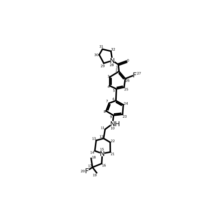 C=C(c1ccc(-c2ccc(NCC3CCN(CC(C)(C)F)CC3)cc2)cc1F)N1CCCC1